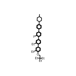 CCc1cc(-c2ccc(-c3ccc(-c4ccc(C5CCC(C)CC5)cc4)cc3F)cc2CC)ccc1OCC(CC)(CC)CC